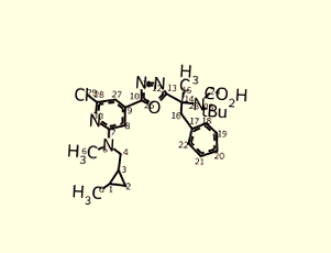 CC1CC1CN(C)c1cc(-c2nnc([C@@](C)(Cc3ccccc3)N(C(=O)O)C(C)(C)C)o2)cc(Cl)n1